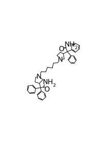 NC(=O)C(c1ccccc1)(c1ccccc1)C1CCN(CCCCCCN2CCC(C(C(N)=O)(c3ccccc3)c3ccccc3)C2)C1